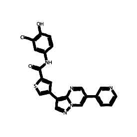 O=C(Nc1ccc(O)c(Cl)c1)c1cc(-c2cnn3cc(-c4cccnc4)cnc23)cs1